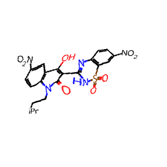 CC(C)CCn1c(=O)c(C2=Nc3ccc([N+](=O)[O-])cc3S(=O)(=O)N2)c(O)c2cc([N+](=O)[O-])ccc21